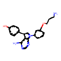 NCCCOc1cccc(-n2cc(-c3ccc(O)cc3)c3c(N)ncnc32)c1